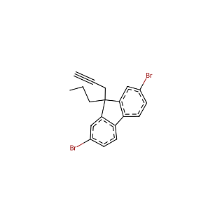 C#CCC1(CCC)c2cc(Br)ccc2-c2ccc(Br)cc21